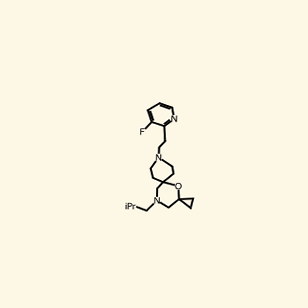 CC(C)CN1CC2(CCN(CCc3ncccc3F)CC2)OC2(CC2)C1